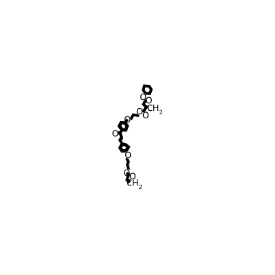 C=CC(=O)OCCCCOc1ccc(/C=C/C(=O)c2ccc(OCCCOC(=O)C(=C)CC(=O)OC3CCCCC3)cc2)cc1